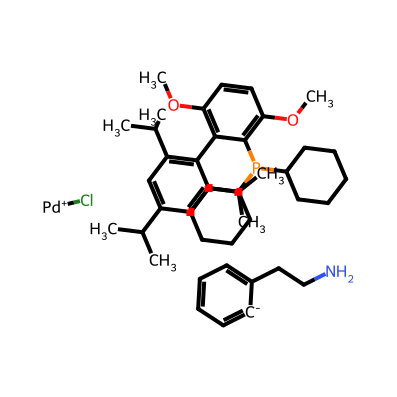 COc1ccc(OC)c(P(C2CCCCC2)C2CCCCC2)c1-c1c(C(C)C)cc(C(C)C)cc1C(C)C.NCCc1[c-]cccc1.[Cl][Pd+]